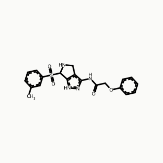 Cc1cccc(S(=O)(=O)C2NCc3c(NC(=O)COc4ccccc4)n[nH]c32)c1